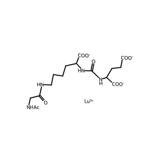 CC(=O)NCC(=O)NCCCCC(NC(=O)NC(CCC(=O)[O-])C(=O)[O-])C(=O)[O-].[Lu+3]